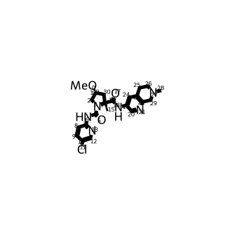 CO[C@H]1CN(C(=O)Nc2ccc(Cl)cn2)[C@@](C)(C(=O)Nc2cnc3c(c2)CCN(C)C3)C1